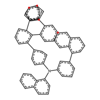 c1ccc(-c2ccccc2-c2c(-c3ccccc3)cccc2-c2ccc(N(c3cccc(-c4cccc5ccccc45)c3)c3cccc4ccccc34)cc2)cc1